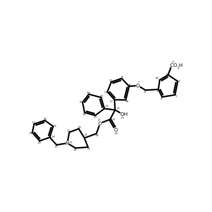 O=C(O)c1cccc(COc2cccc(C(O)(C(=O)OCC3CCN(Cc4ccccc4)CC3)c3ccccc3)c2)c1